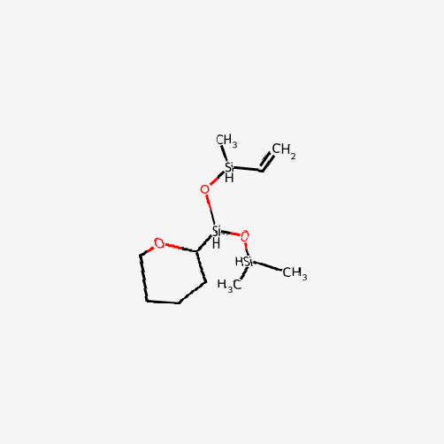 C=C[SiH](C)O[SiH](O[SiH](C)C)C1CCCCO1